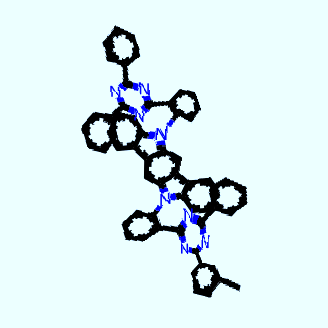 Cc1cccc(-c2nc(-c3ccccc3)nc(-c3ccccc3-n3c4ccccc4c4cc5c(cc43)c3ccccc3n5-c3ccccc3-c3nc(-c4ccccc4)nc(-c4ccccc4)n3)n2)c1